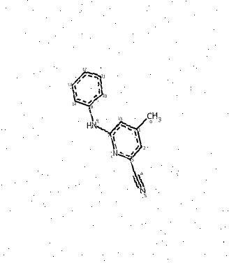 Cc1cc(C#N)nc(Nc2ccccc2)c1